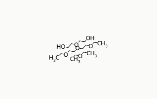 CCOCC.CCOCCOCCOCC.OCCOCCO